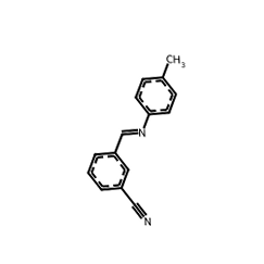 Cc1ccc(/N=C/c2cccc(C#N)c2)cc1